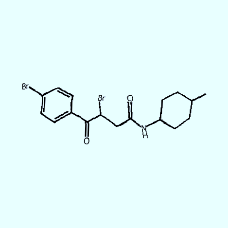 CC1CCC(NC(=O)CC(Br)C(=O)c2ccc(Br)cc2)CC1